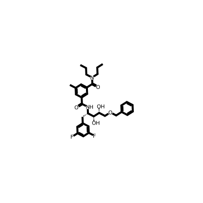 CCCN(CCC)C(=O)c1cc(C)cc(C(=O)N[C@@H](Cc2cc(F)cc(F)c2)[C@@H](O)[C@H](O)COCc2ccccc2)c1